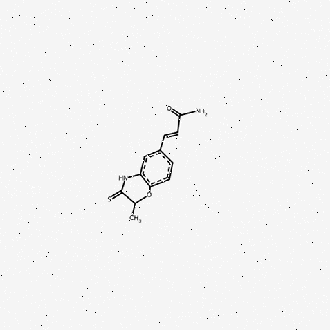 CC1Oc2ccc(C=CC(N)=O)cc2NC1=S